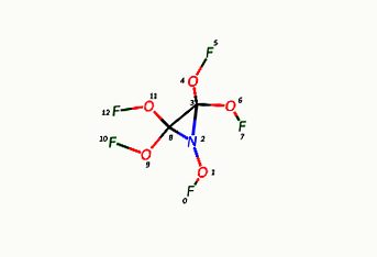 FON1C(OF)(OF)C1(OF)OF